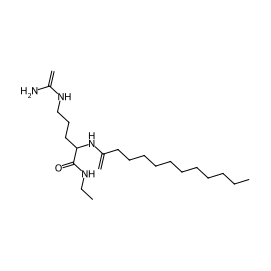 C=C(N)NCCCC(NC(=C)CCCCCCCCCCC)C(=O)NCC